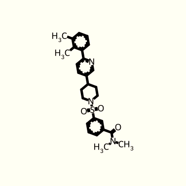 Cc1cccc(-c2ccc(C3CCN(S(=O)(=O)c4cccc(C(=O)N(C)C)c4)CC3)cn2)c1C